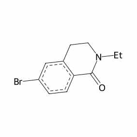 CCN1CCc2cc(Br)ccc2C1=O